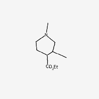 CCOC(=O)C1CCN(C)CC1C